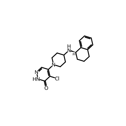 O=c1[nH]ncc(N2CCC(N[C@@H]3CCCc4ccccc43)CC2)c1Cl